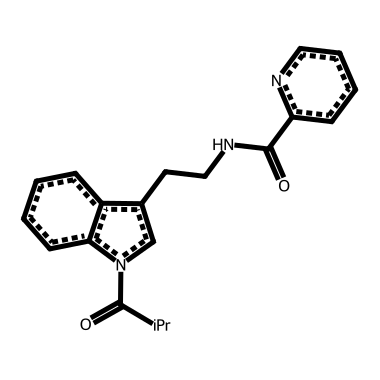 CC(C)C(=O)n1cc(CCNC(=O)c2ccccn2)c2ccccc21